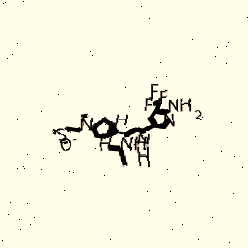 CC(C)N/C(=C\C(=N)c1cnc(N)c(C(F)(F)F)c1)[C@H]1[C@@H]2CC(N(C)CC[S+](C)[O-])C[C@@H]21